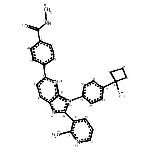 CNC(=O)c1ccc(-c2ccc3nc(-c4cccnc4N)n(-c4ccc(C5(N)CCC5)cc4)c3n2)cc1